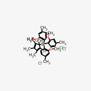 COc1cc(C)ccc1[Si](c1ccc(C)cc1OC)(c1ccc(C)cc1OC)C1(C)C(C)=C(C)C(C)=[C]1[Ti+3].[Cl-].[Cl-].[Cl-]